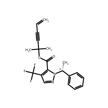 C=CC#CC(C)(C)OC(=O)c1c(C(F)(F)F)cnn1[C@H](C)c1ccccc1